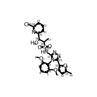 COc1cccc(OC)c1-n1c(NS(=O)(=O)C(C)C(O)c2cccc(Cl)n2)nnc1-c1ccc(C)o1